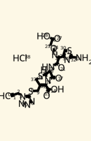 C#CCn1nnnc1SCC1=C(C(=O)O)N2C(=O)C(NC(=O)C(=NOCC(=O)O)c3csc(N)n3)[C@@H]2SC1.Cl